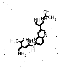 CC(C)N/C=C(\C=N)c1cnc2ccc(N/C(N)=C/C(=C\N)C(C)C)nc2c1